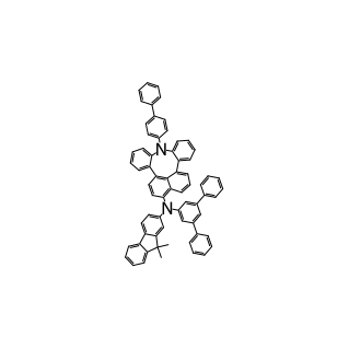 CC1(C)c2ccccc2-c2ccc(N(c3cc(-c4ccccc4)cc(-c4ccccc4)c3)c3ccc4c5c(cccc35)-c3ccccc3N(c3ccc(-c5ccccc5)cc3)c3ccccc3-4)cc21